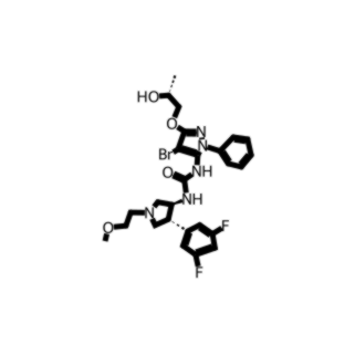 COCCN1C[C@@H](NC(=O)Nc2c(Br)c(OC[C@@H](C)O)nn2-c2ccccc2)[C@H](c2cc(F)cc(F)c2)C1